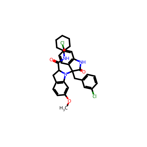 COc1ccc2c(c1)N(C1(Cc3cccc(Cl)c3)C(=O)Nc3cc(Cl)ccc31)C(C(=O)NC1CCCCC1)C2